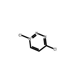 Clc1cc[n+](Cl)nn1